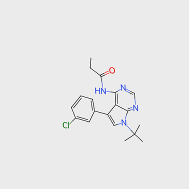 CCC(=O)Nc1ncnc2c1c(-c1cccc(Cl)c1)cn2C(C)(C)C